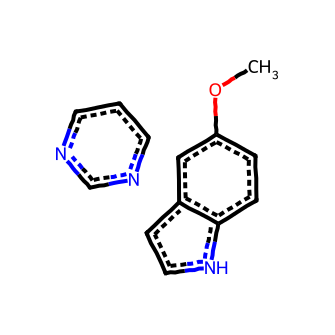 COc1ccc2[nH]ccc2c1.c1cncnc1